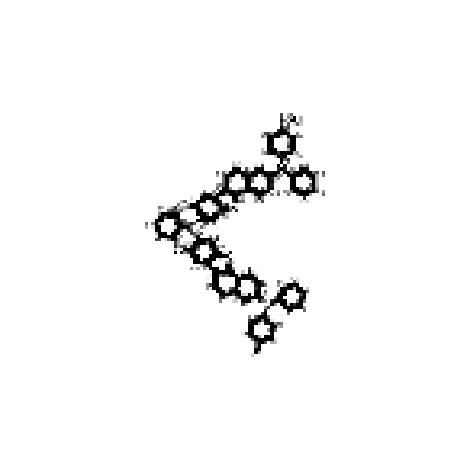 Cc1ccc(N(c2ccccc2)c2ccc3c(ccc4c5cc6c(cc5sc34)B3c4cc5sc7c8ccc(N(c9ccccc9)c9ccc(C(C)(C)C)cc9)cc8ccc7c5cc4Oc4cccc(c43)O6)c2)cc1